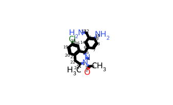 CC(=O)N1N=C(c2ccc(N)c(CN)c2)c2cc(Cl)ccc2C[C@@H]1C